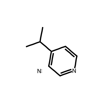 CC(C)c1ccncc1.[N]